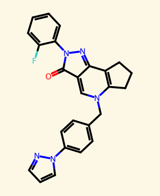 O=c1c2cn(Cc3ccc(-n4cccn4)cc3)c3c(c-2nn1-c1ccccc1F)CCC3